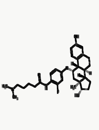 CN(C)CCCCC(=O)Nc1ccc(O[C@H]2C[C@]3(C)[C@@H](O)CC[C@H]3[C@@H]3CCc4cc(O)ccc4[C@H]32)cc1F